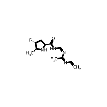 C=C/N=C(\N=C/NC(=O)[C@@H]1C[C@@H](F)[C@H](C)N1)C(F)(F)F